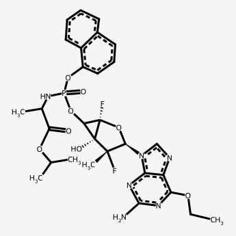 CCOc1nc(N)nc2c1ncn2[C@@H]1O[C@]2(F)C(OP(=O)(NC(C)C(=O)OC(C)C)Oc3cccc4ccccc34)[C@]2(O)[C@@]1(C)F